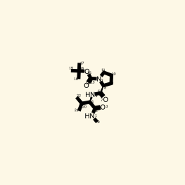 CNC(=O)[C@H](NC(=O)[C@@H]1CCCN1C(=O)OC(C)(C)C)C(C)C